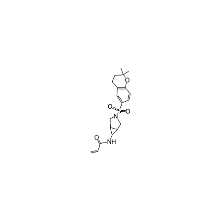 C=CC(=O)NC1C2CN(S(=O)(=O)c3ccc4c(c3)CCC(C)(C)O4)CC21